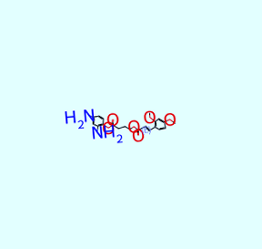 COc1ccc(/C=C/C(=O)OCCCC(=O)Oc2ccc(N)cc2N)c(OC)c1